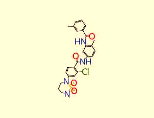 Cc1cccc(C(=O)Nc2cc(NC(=O)c3ccc(N4CCCN(C)S4(=O)=O)cc3Cl)ccc2C)c1